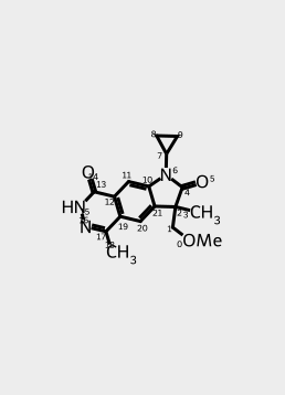 COCC1(C)C(=O)N(C2CC2)c2cc3c(=O)[nH]nc(C)c3cc21